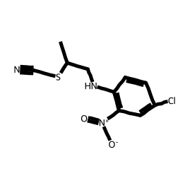 CC(CNc1ccc(Cl)cc1[N+](=O)[O-])SC#N